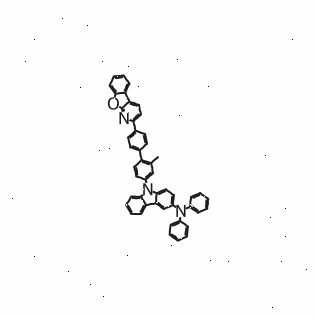 Cc1cc(-n2c3ccccc3c3cc(N(c4ccccc4)c4ccccc4)ccc32)ccc1-c1ccc(-c2ccc3c(n2)oc2ccccc23)cc1